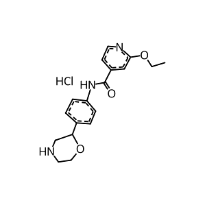 CCOc1cc(C(=O)Nc2ccc(C3CNCCO3)cc2)ccn1.Cl